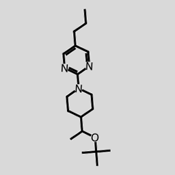 CCCc1cnc(N2CCC(C(C)OC(C)(C)C)CC2)nc1